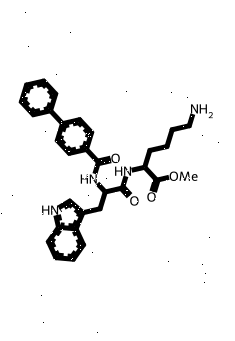 COC(=O)C(CCCCN)NC(=O)C(Cc1c[nH]c2ccccc12)NC(=O)c1ccc(-c2ccccc2)cc1